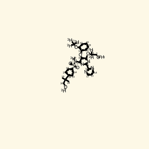 [2H]OCC([2H])([2H])Oc1nc(-c2ncccn2)nc(N([2H])S(=O)(=O)c2ccc(C(C)(C)CO[2H])cc2)c1Oc1ccccc1OC([2H])([2H])[2H]